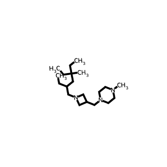 CCC(CN1CC(CN2CCN(C)CC2)C1)CC(C)(CC)CC